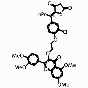 CCC/C(=C1/SC(=O)CC1=O)c1ccc(OCCOc2c(-c3ccc(OC)c(OC)c3)oc3cc(OC)cc(OC)c3c2=O)c(Cl)c1